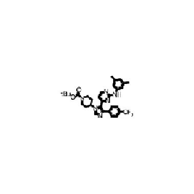 Cc1cc(C)cc(Nc2nccc(-c3c(-c4ccc(C(F)(F)F)cc4)ncn3C3CCN(C(=O)OC(C)(C)C)CC3)n2)c1